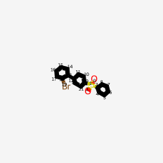 O=S(=O)(c1ccccc1)c1ccc(-c2ccccc2Br)cc1